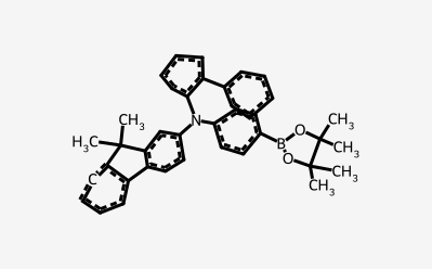 CC1(C)c2ccccc2-c2ccc(N(c3ccc(B4OC(C)(C)C(C)(C)O4)cc3)c3ccccc3-c3ccccc3)cc21